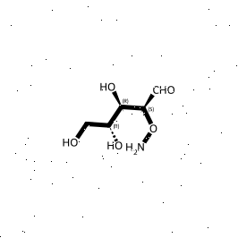 NO[C@H](C=O)[C@H](O)[C@H](O)CO